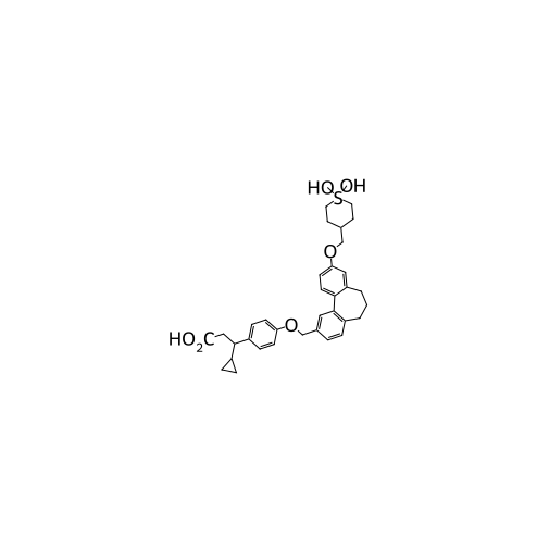 O=C(O)CC(c1ccc(OCc2ccc3c(c2)-c2ccc(OCC4CCS(O)(O)CC4)cc2CCC3)cc1)C1CC1